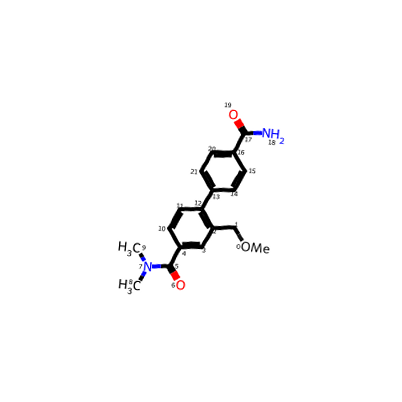 COCc1cc(C(=O)N(C)C)ccc1-c1ccc(C(N)=O)cc1